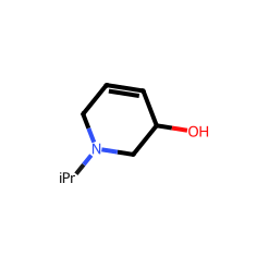 CC(C)N1CC=CC(O)C1